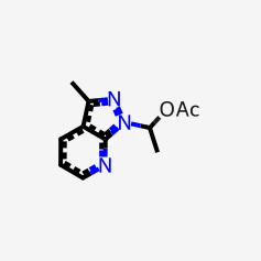 CC(=O)OC(C)n1nc(C)c2cccnc21